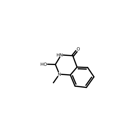 CN1c2ccccc2C(=O)NC1O